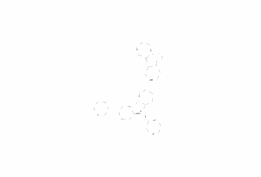 CC1(C)c2cc3oc4ccccc4c3cc2-c2cc3c4cc(-c5ccccc5)ccc4n(-c4ccccc4)c3cc21